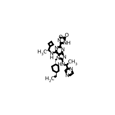 C=C[C@H]1CC[C@H](Cn2c(NC(C)c3cnccn3)nc3nc(-c4noc(=O)[nH]4)nc(N[C@H](C)C4CCC4)c32)CC1